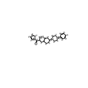 NC(CC1CCC(N2CCN(c3ccccc3)CC2)CC1)C(=O)N1C=CSC1